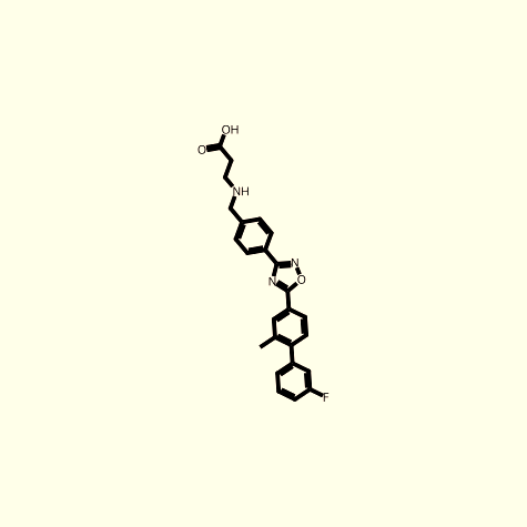 Cc1cc(-c2nc(-c3ccc(CNCCC(=O)O)cc3)no2)ccc1-c1cccc(F)c1